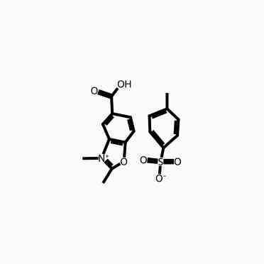 Cc1ccc(S(=O)(=O)[O-])cc1.Cc1oc2ccc(C(=O)O)cc2[n+]1C